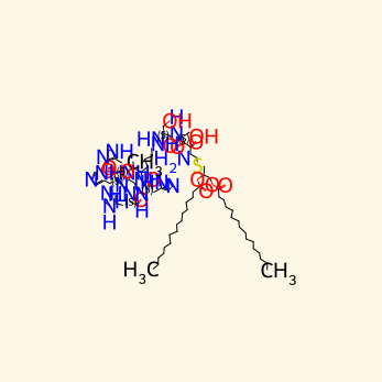 CCCCCCCCCCCCCCCC(=O)OCC(CSCC(N)C(=O)C(=O)[C@H](CO)NC(=O)[C@H](CO)NNCCCCC(NC(C(N[C@H](C=O)Cc1cnc[nH]1)N[C@H](C=O)Cc1cnc[nH]1)C(N[C@H](C=O)Cc1cnc[nH]1)N[C@H](C=O)Cc1cnc[nH]1)C(C)=O)OC(=O)CCCCCCCCCCCCCCC